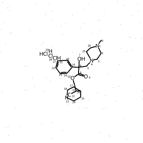 CN1CCN(CC(O)(C(=O)OC2CN3CCC2CC3)c2ccccc2)CC1.Cl.Cl.Cl